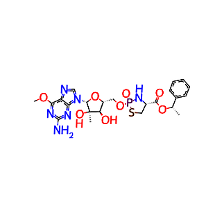 COc1nc(N)nc2c1ncn2[C@@H]1O[C@H](CO[P@]2(=O)N[C@H](C(=O)O[C@@H](C)c3ccccc3)CS2)[C@@H](O)[C@@]1(C)O